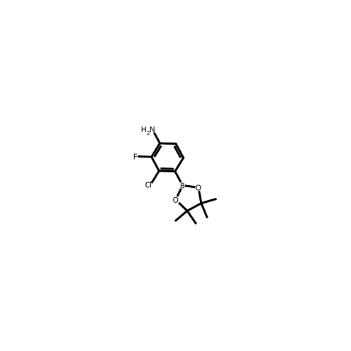 CC1(C)OB(c2ccc(N)c(F)c2Cl)OC1(C)C